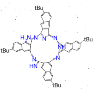 CC(C)(C)c1ccc2cc3c(cc2c1)-c1nc-3nc2[nH]c(ncc3cc4cc(C(C)(C)C)ccc4cc3c(=N)ncc3cc4cc(C(C)(C)C)ccc4cc3c(N)n1)c1cc3ccc(C(C)(C)C)cc3cc21